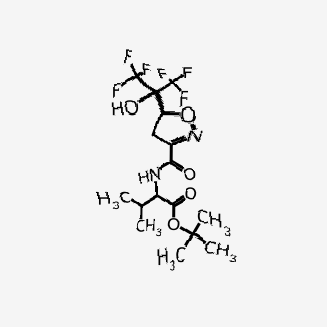 CC(C)C(NC(=O)C1=NOC(C(O)(C(F)(F)F)C(F)(F)F)C1)C(=O)OC(C)(C)C